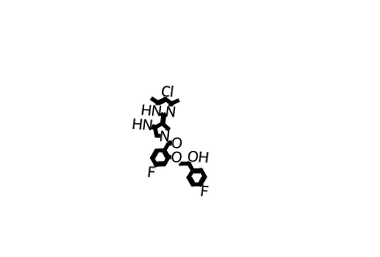 CC1=N/C(=C2\CN(C(=O)c3ccc(F)cc3OCC(O)c3ccc(F)cc3)CC2=N)NC(C)=C1Cl